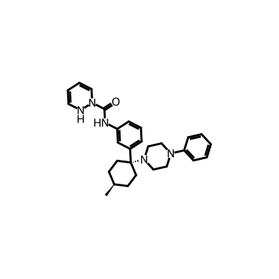 C[C@H]1CC[C@](c2cccc(NC(=O)N3C=CC=CN3)c2)(N2CCN(c3ccccc3)CC2)CC1